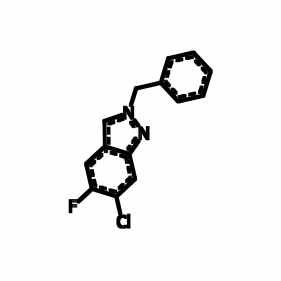 Fc1cc2cn(Cc3ccccc3)nc2cc1Cl